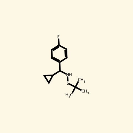 CC(C)(C)SNC(c1ccc(F)cc1)C1CC1